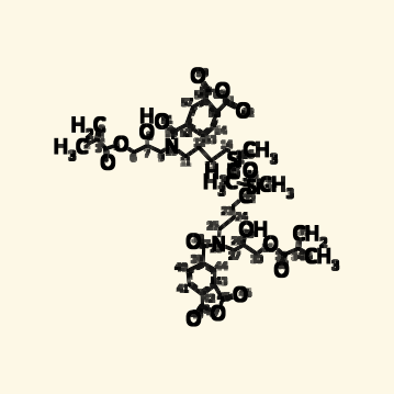 C=C(C)C(=O)OCC(O)CN(CCCC[Si](C)(C)O[Si](C)(C)CCCCN(CC(O)COC(=O)C(=C)C)C(=O)c1ccc2c(c1)C(=O)OC2=O)C(=O)c1ccc2c(c1)C(=O)OC2=O